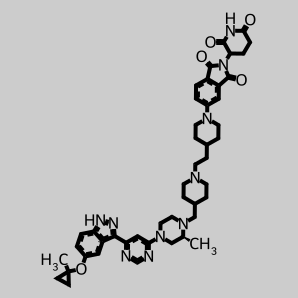 C[C@H]1CN(c2cc(-c3n[nH]c4ccc(OC5(C)CC5)cc34)ncn2)CCN1CC1CCN(CCC2CCN(c3ccc4c(c3)C(=O)N(C3CCC(=O)NC3=O)C4=O)CC2)CC1